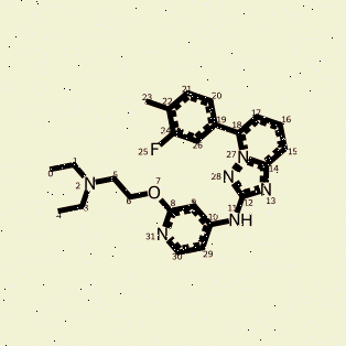 CCN(CC)CCOc1cc(Nc2nc3cccc(-c4ccc(C)c(F)c4)n3n2)ccn1